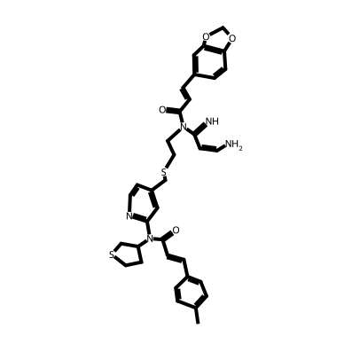 Cc1ccc(/C=C/C(=O)N(c2cc(CSCCN(C(=N)/C=C\N)C(=O)/C=C/c3ccc4c(c3)OCO4)ccn2)C2CCSC2)cc1